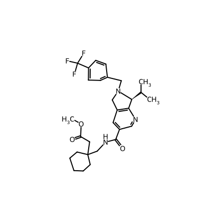 COC(=O)CC1(CNC(=O)c2cnc3c(c2)CN(Cc2ccc(C(F)(F)F)cc2)[C@H]3C(C)C)CCCCC1